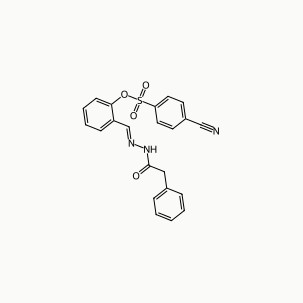 N#Cc1ccc(S(=O)(=O)Oc2ccccc2C=NNC(=O)Cc2ccccc2)cc1